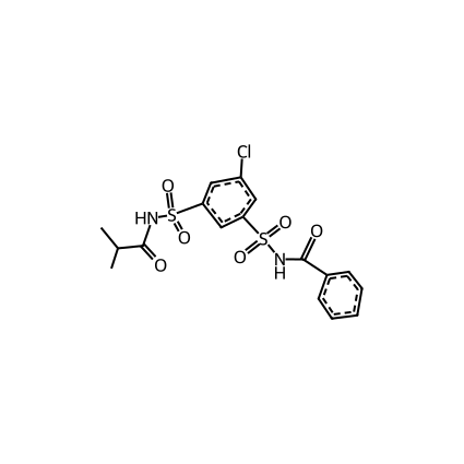 CC(C)C(=O)NS(=O)(=O)c1cc(Cl)cc(S(=O)(=O)NC(=O)c2ccccc2)c1